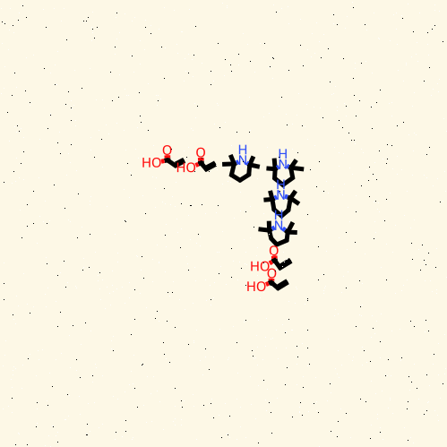 C=CC(=O)O.C=CC(=O)O.C=CC(=O)O.C=CC(=O)O.CC1(C)CCCC(C)(C)N1.CC1(C)CCCC(C)(C)N1.CC1(C)CCCC(C)(C)N1.CC1(C)CCCC(C)(C)N1